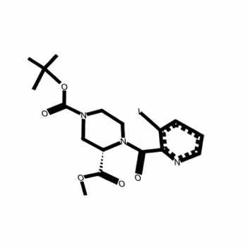 COC(=O)[C@@H]1CN(C(=O)OC(C)(C)C)CCN1C(=O)c1ncccc1I